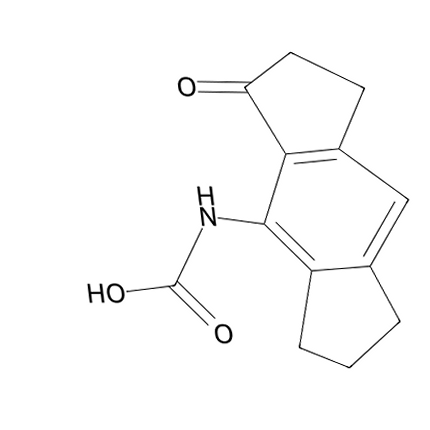 O=C(O)Nc1c2c(cc3c1C(=O)CC3)CCC2